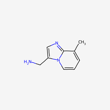 Cc1cccn2c(CN)cnc12